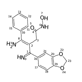 N=C(/C(CC(=O)NO)=C(\N)c1ccccc1)c1ccc2c(c1)OCO2